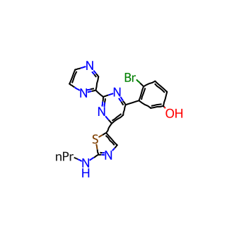 CCCNc1ncc(-c2cc(-c3cc(O)ccc3Br)nc(-c3cnccn3)n2)s1